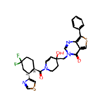 O=C([C@@H]1CCC(F)(F)C[C@H]1c1cscn1)N1CCC(O)(Cn2cnc3c(-c4ccccc4)scc3c2=O)CC1